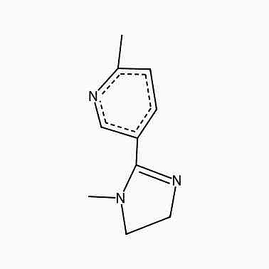 Cc1ccc(C2=NCCN2C)cn1